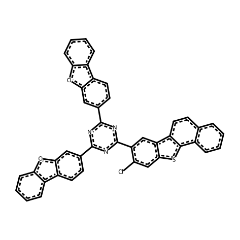 Clc1cc2sc3c4ccccc4ccc3c2cc1-c1nc(-c2ccc3c(c2)oc2ccccc23)nc(-c2ccc3c(c2)oc2ccccc23)n1